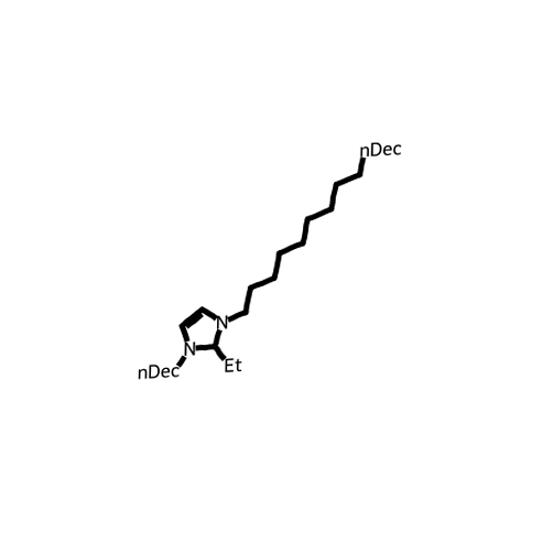 CCCCCCCCCCCCCCCCCCCN1C=CN(CCCCCCCCCC)C1CC